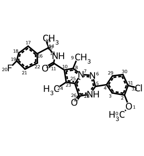 COc1cc(-c2nn3c(C)c(C(=O)N[C@H](C)c4ccc(F)cc4)c(C)c3c(=O)[nH]2)ccc1Cl